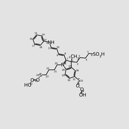 CC1(CCCCS(=O)(=O)O)C(/C=C/C=C/Nc2ccccc2)=[N+](CCCCSOOO)c2ccc(SOOO)cc21